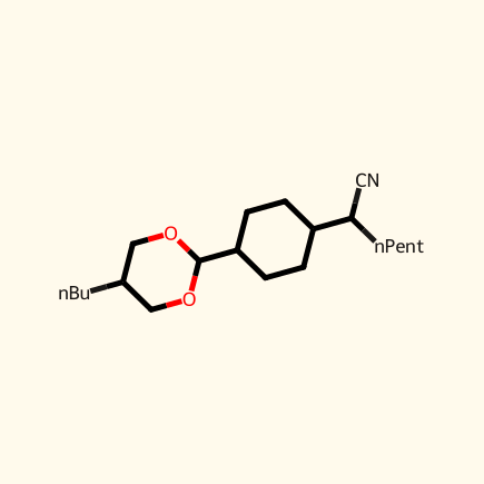 CCCCCC(C#N)C1CCC(C2OCC(CCCC)CO2)CC1